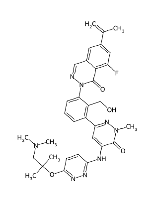 C=C(C)c1cc(F)c2c(=O)n(-c3cccc(-c4cc(Nc5ccc(OC(C)(C)CN(C)C)nn5)c(=O)n(C)n4)c3CO)ncc2c1